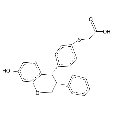 O=C(O)CSc1ccc([C@H]2c3ccc(O)cc3OC[C@H]2c2ccccc2)cc1